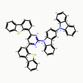 c1ccc2c(c1)sc1c(-c3cc(-c4cccc5c4sc4ccccc45)nc(-n4c5ccccc5c5cc(-n6c7ccccc7c7ccccc76)ccc54)n3)cccc12